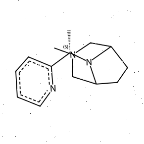 C[C@@H](c1ccccn1)N1C2CCC1CN(C)C2